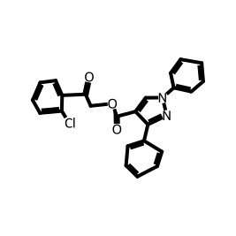 O=C(COC(=O)c1cn(-c2ccccc2)nc1-c1ccccc1)c1ccccc1Cl